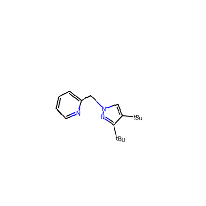 CC(C)(C)c1cn(Cc2ccccn2)nc1C(C)(C)C